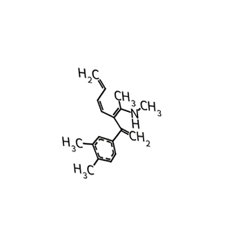 C=C/C=C\C(C(=C)c1ccc(C)c(C)c1)=C(/C)NC